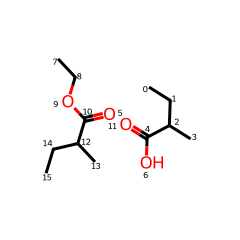 CCC(C)C(=O)O.CCOC(=O)C(C)CC